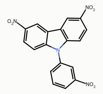 O=[N+]([O-])c1cccc(-n2c3ccc([N+](=O)[O-])cc3c3cc([N+](=O)[O-])ccc32)c1